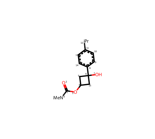 CNC(=O)OC1CC(O)(c2ccc(C(C)C)cc2)C1